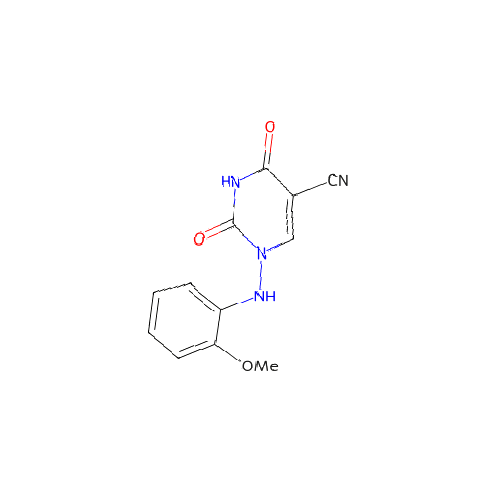 COc1ccccc1Nn1cc(C#N)c(=O)[nH]c1=O